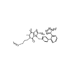 CCCCc1nc2c(n1Cc1ccc(-c3ccccc3-c3nnn[nH]3)cc1)C(=O)C(CCCCO)=C(C)C2=O